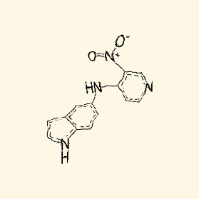 O=[N+]([O-])c1cnccc1Nc1ccc2[nH]ccc2c1